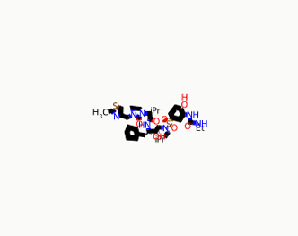 CCNC(=O)Nc1cc(S(=O)(=O)N(CC(C)C)C[C@H](O)[C@H](Cc2ccccc2)NC(=O)[C@H](C(C)C)N2CCN(Cc3csc(C)n3)C2=O)ccc1O